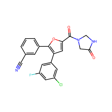 N#Cc1cccc(-c2oc(C(=O)N3CNC(=O)C3)cc2-c2cc(F)cc(Cl)c2)c1